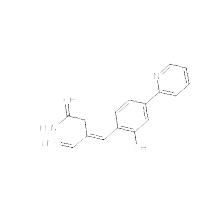 C=C/C(=C/c1ccc(-c2ccccn2)cc1C)CC(=C)N